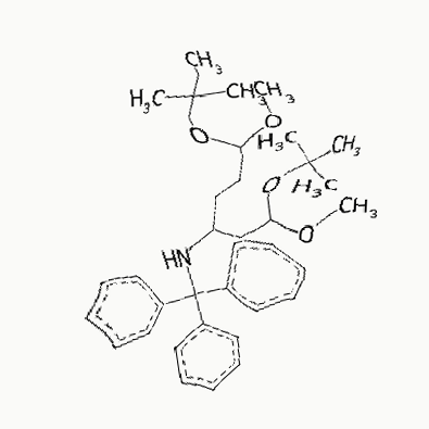 COC(CCC(CC(OC)OC(C)(C)C)NC(c1ccccc1)(c1ccccc1)c1ccccc1)OC(C)(C)C